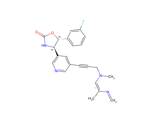 C=N/C(C)=C\N(C)CC#Cc1cncc([C@H]2NC(=O)O[C@@H]2c2cccc(F)c2)c1